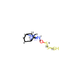 CN1C2CCC1/C(=N\OSSS)C2